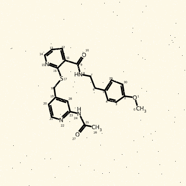 COc1ccc(CCNC(=O)c2cccnc2SCc2ccnc(NC(C)=O)c2)cc1